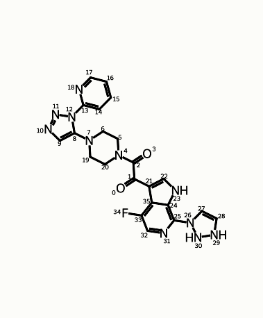 O=C(C(=O)N1CCN(c2cnnn2-c2ccccn2)CC1)c1c[nH]c2c(N3C=CNN3)ncc(F)c12